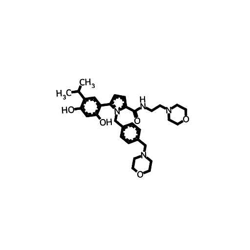 CC(C)c1cc(-c2ccc(C(=O)NCCN3CCOCC3)n2Cc2ccc(CN3CCOCC3)cc2)c(O)cc1O